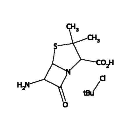 CC(C)(C)Cl.CC1(C)SC2C(N)C(=O)N2C1C(=O)O